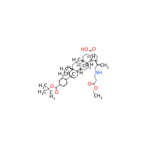 C=C(CNCCC(=O)OCC)[C@@H]1CC[C@]2(C(=O)O)CC[C@]3(C)[C@H](CC[C@@H]4[C@@]5(C)CC=C(c6ccc(C(=O)OC(C)(C)C)cc6)C(C)(C)[C@@H]5CC[C@]43C)[C@@H]12